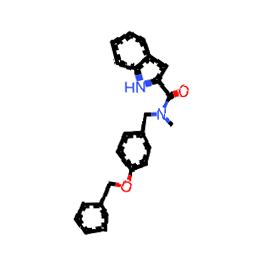 CN(Cc1ccc(OCc2ccccc2)cc1)C(=O)c1cc2ccccc2[nH]1